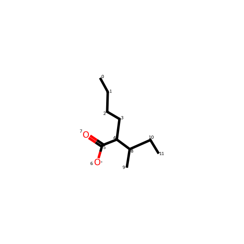 CCCCC(C([O])=O)C(C)CC